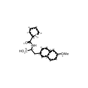 COc1ccc2cc(CC(NC(=O)c3ccccc3)C(=O)O)ccc2c1